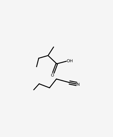 CCC(C)C(=O)O.CCCCC#N